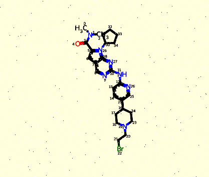 CN(C)C(=O)c1cc2cnc(Nc3ccc(C4CCN(CCBr)CC4)cn3)nc2n1C1CCCC1